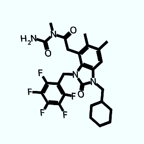 Cc1cc2c(c(CC(=O)N(C)C(N)=O)c1C)n(Cc1c(F)c(F)c(F)c(F)c1F)c(=O)n2CC1CCCCC1